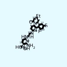 CCN1CCN(c2ccc(NCCNc3ccc(N(O)O)c(N)n3)nc2-c2ccc(F)cc2F)C(=O)C1